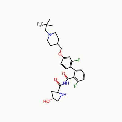 CC(C)(CN1CCC(COc2ccc(-c3cccc(F)c3C(=O)NC(=O)[C@@H]3C[C@@H](O)CN3)c(F)c2)CC1)C(F)(F)F